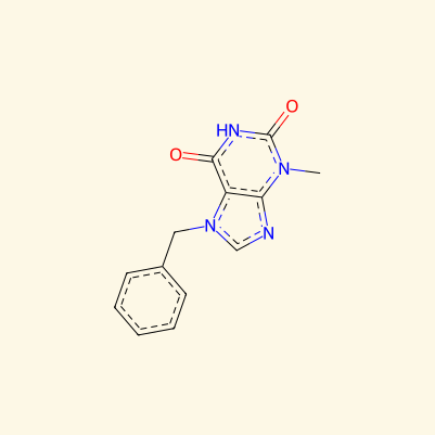 Cn1c(=O)[nH]c(=O)c2c1ncn2Cc1ccccc1